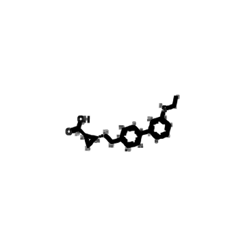 CCSc1cccc(-c2ccc(CC[C@@H]3C[C@H]3C(=O)O)cc2)c1